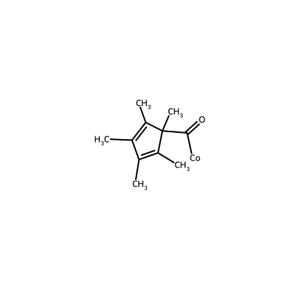 CC1=C(C)C(C)([C](=O)[Co])C(C)=C1C